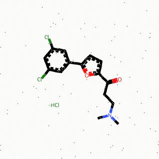 CN(C)CCC(=O)c1ccc(-c2cc(Cl)cc(Cl)c2)o1.Cl